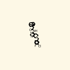 O=C(CC12CC3CC(CC(C3)C1)C2)Nc1ncnc2c1CCN(Cc1ccc(F)c(Cl)c1)C2